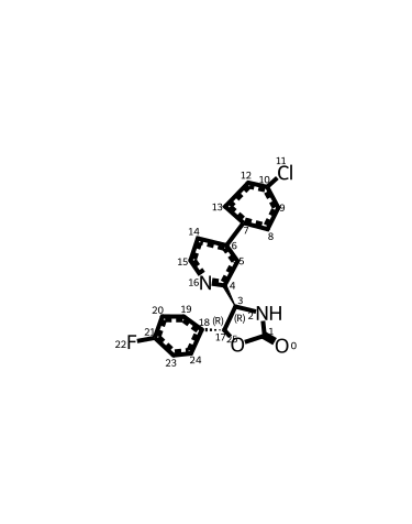 O=C1N[C@H](c2cc(-c3ccc(Cl)cc3)ccn2)[C@@H](c2ccc(F)cc2)O1